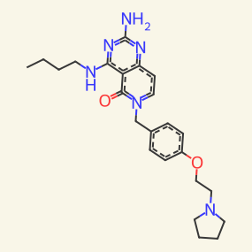 CCCCNc1nc(N)nc2ccn(Cc3ccc(OCCN4CCCC4)cc3)c(=O)c12